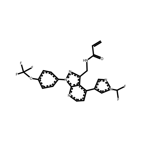 C=CC(=O)NCc1nn(-c2ccc(OC(F)(F)F)cc2)c2nccc(-c3cnn(C(F)F)c3)c12